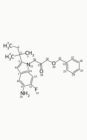 CCC(C)(C)c1cc2cc(N)c(F)cc2n1CC(=O)COCc1ccccc1